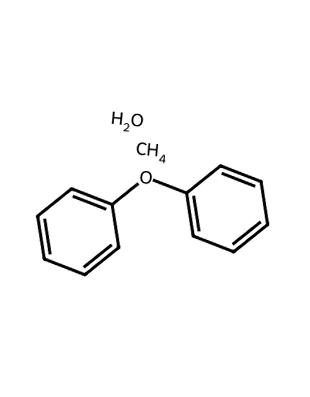 C.O.c1ccc(Oc2ccccc2)cc1